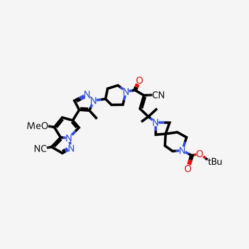 COc1cc(-c2cnn(C3CCN(C(=O)C(C#N)=CC(C)(C)N4CC5(CCN(C(=O)OC(C)(C)C)CC5)C4)CC3)c2C)cn2ncc(C#N)c12